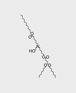 CCCCCCCCCCCOC(=O)CCCCCN(CCO)CCCCCOC(=O)CCC(OCCCCCCC)OCCCCCCC